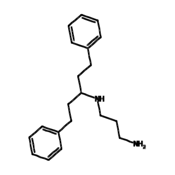 NCCCNC(CCc1ccccc1)CCc1ccccc1